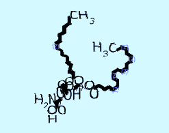 CC/C=C\C/C=C\C/C=C\C/C=C\C/C=C\CCCC(=O)OC[C@H](COP(=O)(O)OC[C@H](N)C(=O)O)OC(=O)CCCCCCC/C=C\CCCCCCC